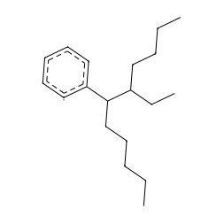 CCCCCC(c1[c]cccc1)C(CC)CCCC